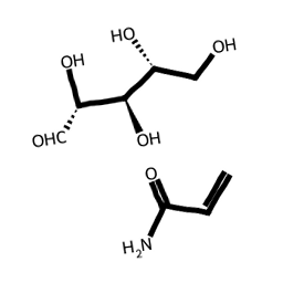 C=CC(N)=O.O=C[C@H](O)[C@H](O)[C@H](O)CO